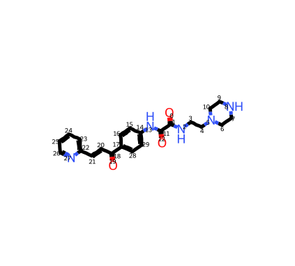 O=C(NCCN1CCNCC1)C(=O)Nc1ccc(C(=O)C=Cc2ccccn2)cc1